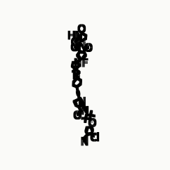 CC1(C)[C@H](Oc2ccc(C#N)c(Cl)c2)C(C)(C)[C@H]1N1Cc2nc(C#CC3CCC(N4CC5(CCN(c6cc7c(cc6F)C(=O)N(C6CCC(=O)NC6=O)C7=O)C5)C4)CC3)ccc2C1=O